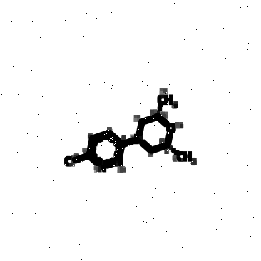 C[C@@H]1CN(c2ccc(Cl)nn2)C[C@H](C)O1